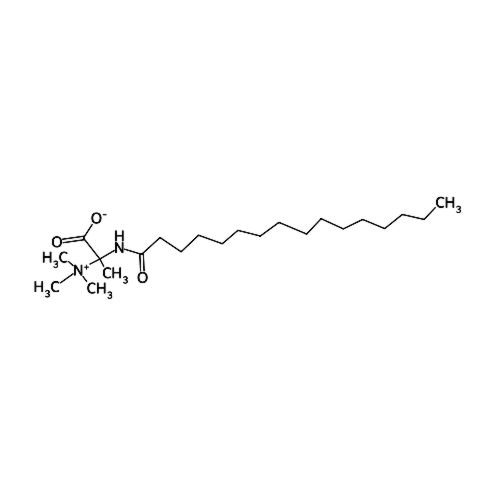 CCCCCCCCCCCCCCCC(=O)NC(C)(C(=O)[O-])[N+](C)(C)C